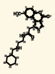 Cc1ccc2oc(=O)c3cnn(CC(=O)NCCNCC4CCCCC4)c3c2c1